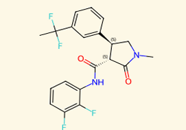 CN1C[C@H](c2cccc(C(C)(F)F)c2)[C@@H](C(=O)Nc2cccc(F)c2F)C1=O